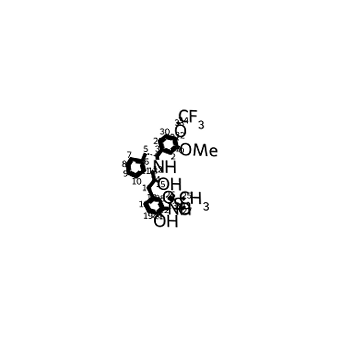 COc1cc([C@@H](Cc2ccccc2)NC[C@@H](O)Cc2ccc(O)c(NS(C)(=O)=O)c2)ccc1OCC(F)(F)F